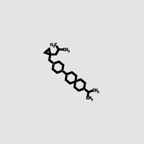 CC(C)CC1(CN2CCN(C3CCC4(CC3)CCN(C(C)C)CC4)CC2)CC1